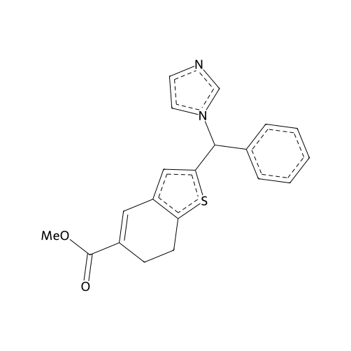 COC(=O)C1=Cc2cc(C(c3ccccc3)n3ccnc3)sc2CC1